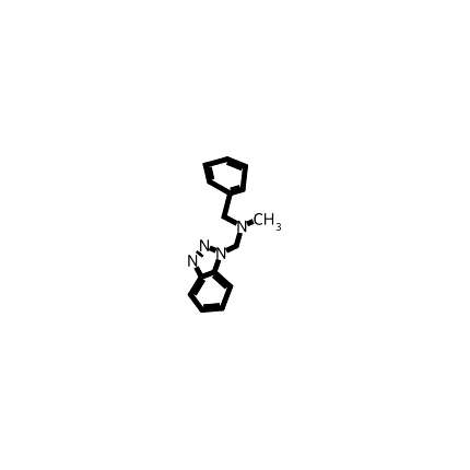 CN(Cc1ccccc1)Cn1nnc2ccccc21